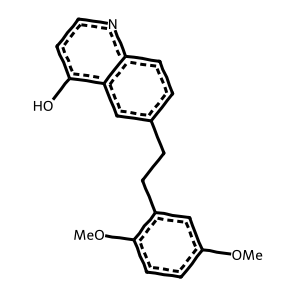 COc1ccc(OC)c(CCc2ccc3nccc(O)c3c2)c1